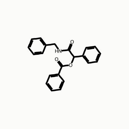 O=C(OC(C(=O)NCc1ccccc1)c1ccccc1)c1ccccc1